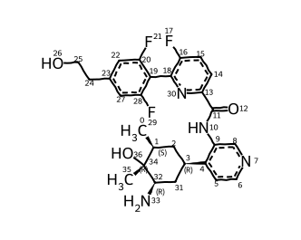 C[C@H]1C[C@@H](c2ccncc2NC(=O)c2ccc(F)c(-c3c(F)cc(CCO)cc3F)n2)C[C@@H](N)[C@]1(C)O